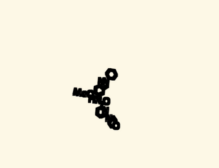 COc1cc2nn(C3CCCCC3)cc2cc1NC(=O)c1cccc(N2CC3CC2CO3)n1